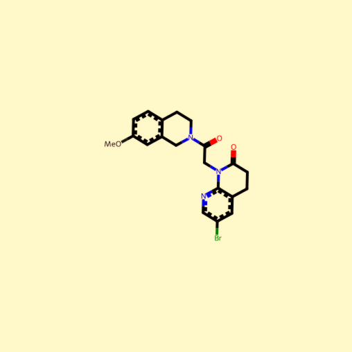 COc1ccc2c(c1)CN(C(=O)CN1C(=O)CCc3cc(Br)cnc31)CC2